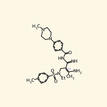 CCN(C/C(C(=N)NC(=O)c1ccc(N2CCN(C)CC2)cc1)=C(\C)N)S(=O)(=O)c1ccc(C)cc1